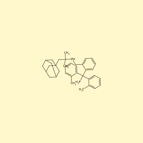 Cc1ccccc1C(P)(c1ccccc1C)c1ccccc1CPC(C)(C)CC12CC3CC(CC(C3)C1)C2